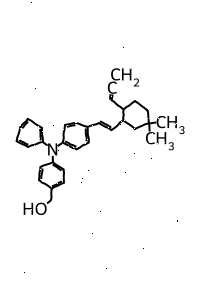 C=C=CC1CCC(C)(C)CC1C=Cc1ccc(N(c2ccccc2)c2ccc(CO)cc2)cc1